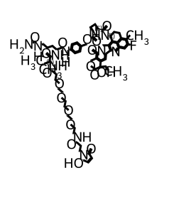 CCC1(O)C(=O)OCc2c1cc1n(c2=O)Cc2c-1nc1cc(F)c(C)c3c1c2[C@H](NC(=O)[C@@H]1CCN1C(=O)OCc1ccc(NC(=O)C(CCCNC(N)=O)NC(=O)[C@@H](NC(=O)CCOCCOCCOCCOCCNC(=O)CCN2C(=O)C=CC2O)C(C)C)cc1)CC3